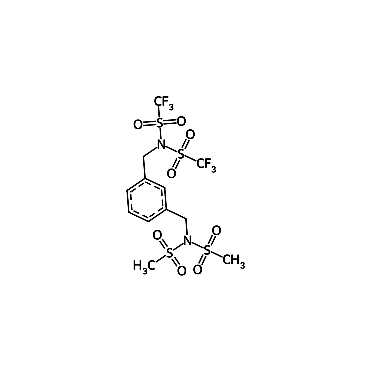 CS(=O)(=O)N(Cc1cccc(CN(S(=O)(=O)C(F)(F)F)S(=O)(=O)C(F)(F)F)c1)S(C)(=O)=O